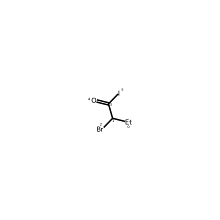 CCC(Br)C(=O)I